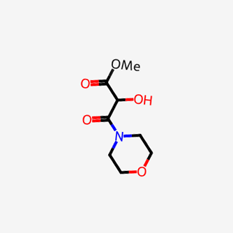 COC(=O)C(O)C(=O)N1CCOCC1